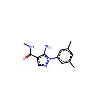 CNC(=O)c1cnn(-c2cc(C)cc(C)c2)c1N